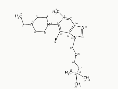 CCN1CCN(c2c(C)cc3ncn(COCC[Si](C)(C)C)c3c2F)CC1